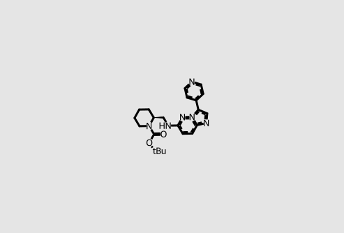 CC(C)(C)OC(=O)N1CCCC[C@H]1CNc1ccc2ncc(-c3ccncc3)n2n1